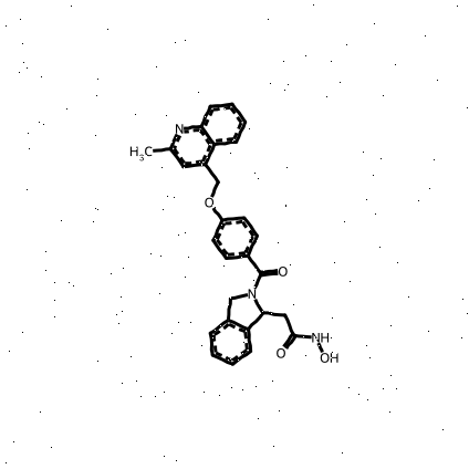 Cc1cc(COc2ccc(C(=O)N3Cc4ccccc4C3CC(=O)NO)cc2)c2ccccc2n1